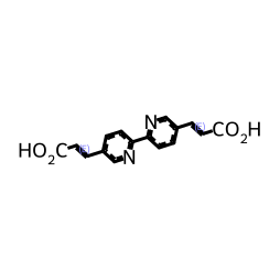 O=C(O)/C=C/c1ccc(-c2ccc(/C=C/C(=O)O)cn2)nc1